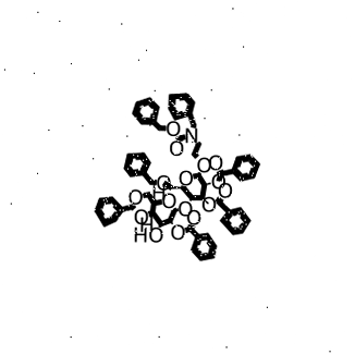 O=C(O[C@H]1[C@@H](OC(=O)c2ccccc2)[C@H](OCCN(Cc2ccccc2)C(=O)OCc2ccccc2)O[C@H](COCc2ccccc2)[C@H]1O[C@@H]1O[C@@H]2COC(c3ccccc3)O[C@H]2[C@H](O)[C@H]1OC(=O)c1ccccc1)c1ccccc1